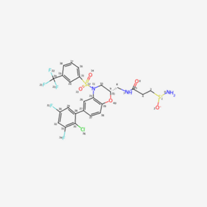 N[S+]([O-])CCC(=O)NC[C@H]1CN(S(=O)(=O)c2cccc(C(F)(F)F)c2)c2cc(-c3cc(F)cc(F)c3Cl)ccc2O1